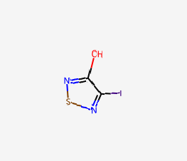 Oc1nsnc1I